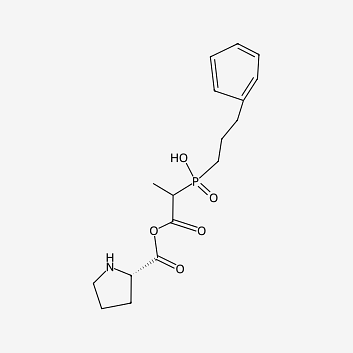 CC(C(=O)OC(=O)[C@@H]1CCCN1)P(=O)(O)CCCc1ccccc1